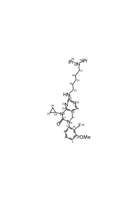 COc1cccc(N2Cc3cnc(NCCCCCN(C(C)C)C(C)C)nc3N(C3CC3)C2=O)c1F